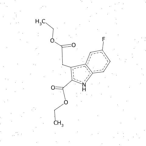 CCOC(=O)Cc1c(C(=O)OCC)[nH]c2ccc(F)cc12